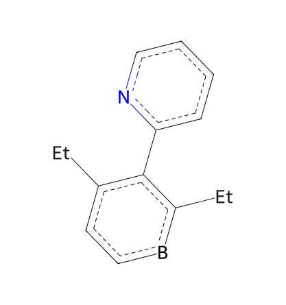 CCc1bccc(CC)c1-c1ccccn1